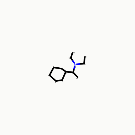 [CH2]C(C1CCCCC1)N(CC)CC